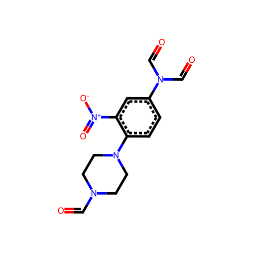 O=CN1CCN(c2ccc(N(C=O)C=O)cc2[N+](=O)[O-])CC1